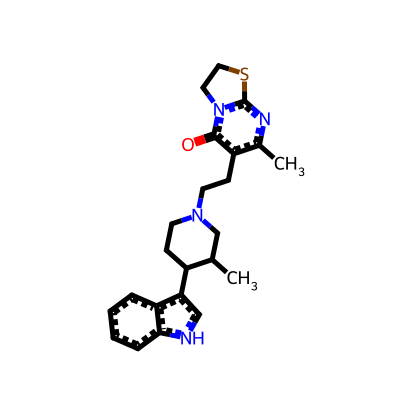 Cc1nc2n(c(=O)c1CCN1CCC(c3c[nH]c4ccccc34)C(C)C1)CCS2